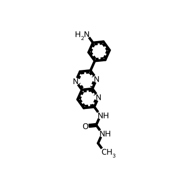 CCNC(=O)Nc1ccc2ncc(-c3cccc(N)c3)nc2n1